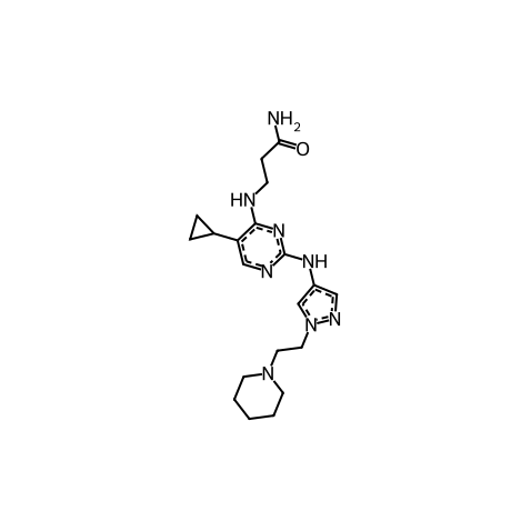 NC(=O)CCNc1nc(Nc2cnn(CCN3CCCCC3)c2)ncc1C1CC1